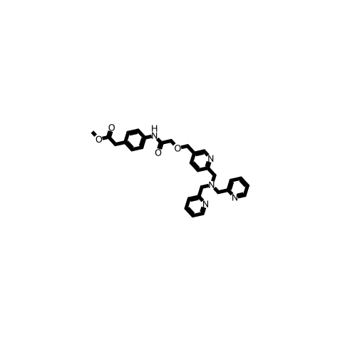 COC(=O)Cc1ccc(NC(=O)COCc2ccc(CN(Cc3ccccn3)Cc3ccccn3)nc2)cc1